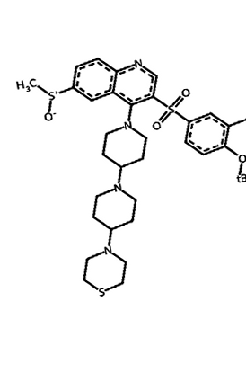 C[S+]([O-])c1ccc2ncc(S(=O)(=O)c3ccc(OC(C)(C)C)c(F)c3)c(N3CCC(N4CCC(N5CCSCC5)CC4)CC3)c2c1